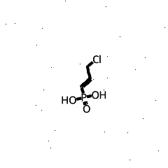 O=P(O)(O)/C=C/CCl